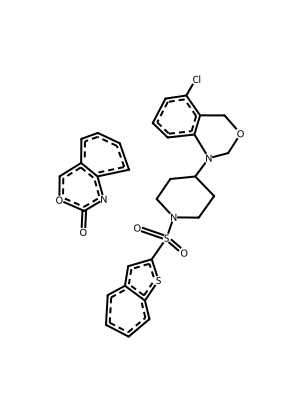 O=S(=O)(c1cc2ccccc2s1)N1CCC(N2COCc3c(Cl)cccc32)CC1.O=c1nc2ccccc2co1